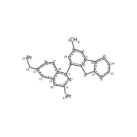 Cc1cc2c(c(-c3nc(C(C)C)cc4cc(CC(C)C)ccc34)c1)Cc1ccccc1-2